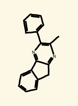 Cc1nc2c(nc1-c1ccccc1)-c1ccccc1C2